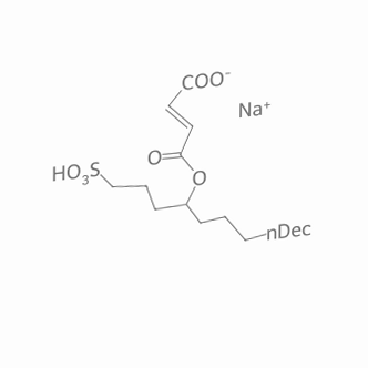 CCCCCCCCCCCCCC(CCCS(=O)(=O)O)OC(=O)C=CC(=O)[O-].[Na+]